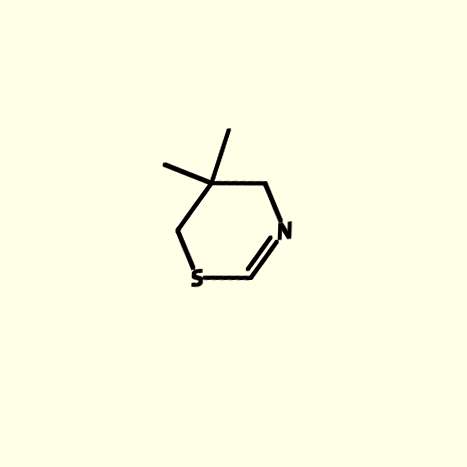 CC1(C)CN=CSC1